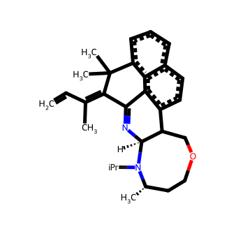 C=C/C(C)=C1/C2=N[C@H]3C(COCC[C@H](C)N3C(C)C)c3ccc4cccc(c4c32)C1(C)C